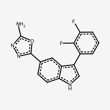 Nc1nnc(-c2ccc3[nH]cc(-c4cccc(F)c4F)c3c2)o1